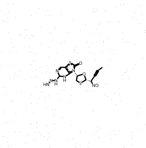 CC#CC(N=O)[C@H]1O[C@@H](n2c3c(sc2=O)C=NC(NN=N)N3)CS1